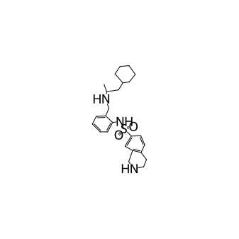 CC(CC1CCCCC1)NCc1ccccc1NS(=O)(=O)c1ccc2c(c1)CNCC2